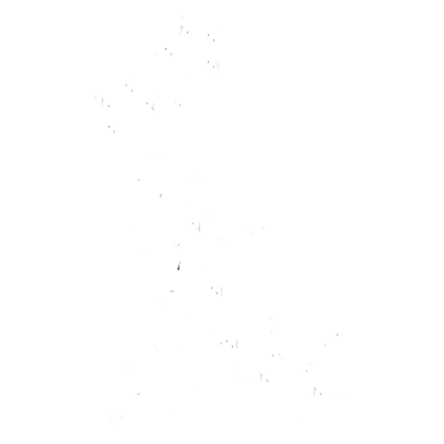 CCN1CCN(C(=O)NC(C(=O)NC2C(=O)N3C(C(=O)O)=C(CSc4nnnn4Cc4nnn[nH]4)CS[C@@H]23)c2ccc(O)cc2)C(=O)C1=O